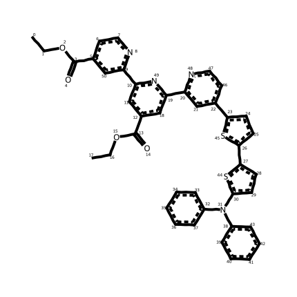 CCOC(=O)c1ccnc(-c2cc(C(=O)OCC)cc(-c3cc(-c4ccc(-c5ccc(N(c6ccccc6)c6ccccc6)s5)s4)ccn3)n2)c1